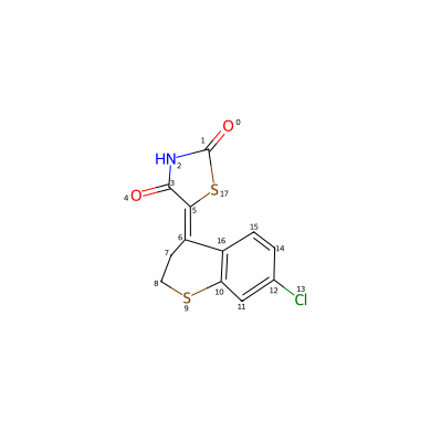 O=C1NC(=O)C(=C2CCSc3cc(Cl)ccc32)S1